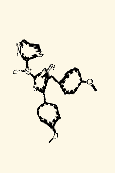 COc1ccc(-c2nc([S+]([O-])c3nccs3)[nH]c2-c2ccc(OC)cc2)cc1